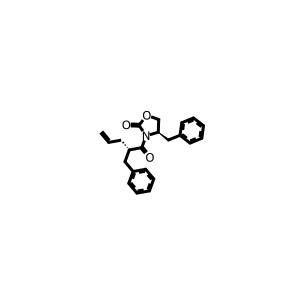 C=CC[C@@H](Cc1ccccc1)C(=O)N1C(=O)OC[C@H]1Cc1ccccc1